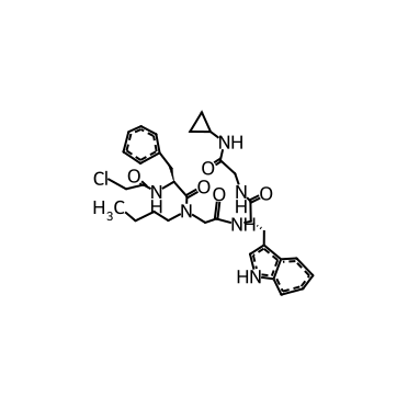 CCCCN(CC(=O)N[C@@H](Cc1c[nH]c2ccccc12)C(=O)NCC(=O)NC1CC1)C(=O)[C@H](Cc1ccccc1)NC(=O)CCl